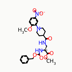 COC(=O)[C@H](CNC(=O)C1CCN(c2cc([N+](=O)[O-])ccc2OC)CC1)NC(=O)OCc1ccccc1